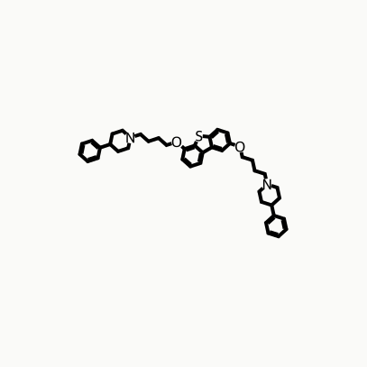 c1ccc(C2CCN(CCCCOc3ccc4sc5c(OCCCCN6CCC(c7ccccc7)CC6)cccc5c4c3)CC2)cc1